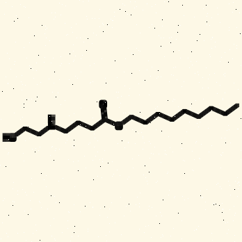 CCCCCCCCCOC(=O)CCCNCCO